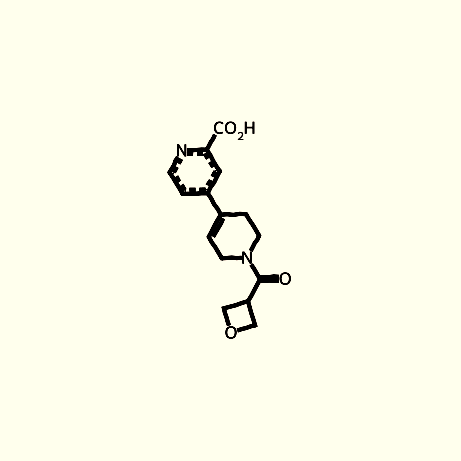 O=C(O)c1cc(C2=CCN(C(=O)C3COC3)CC2)ccn1